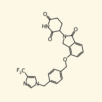 O=C1CCC(N2Cc3c(OCc4ccc(Cn5cnc(C(F)(F)F)c5)cc4)cccc3C2=O)C(=O)N1